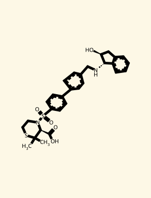 CC1(C)SCCN(S(=O)(=O)c2ccc(-c3ccc(CN[C@H]4c5ccccc5C[C@@H]4O)cc3)cc2)[C@H]1C(=O)O